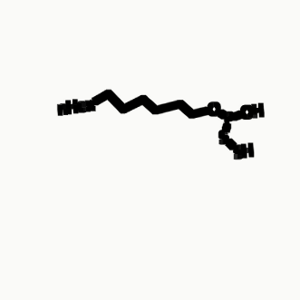 CCCCCCCCCCCCOP(O)SS